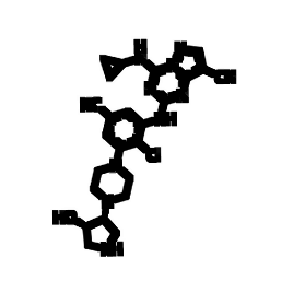 N#Cc1cc(Nc2nc(NC3CC3)n3ncc(C#N)c3n2)c(Cl)c(N2CCN([C@@H]3CNC[C@H]3O)CC2)c1